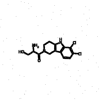 NC(CO)C(=O)N1CCc2[nH]c3c(Cl)c(Cl)ccc3c2C1